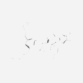 COCCCc1cc(CN(C(=O)[C@H]2CNCC[C@@]23OC(=O)c2cc(F)c(F)cc23)C2CC2)cc(OCCOC)c1